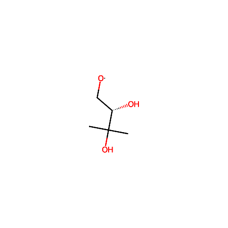 CC(C)(O)[C@@H](O)C[O]